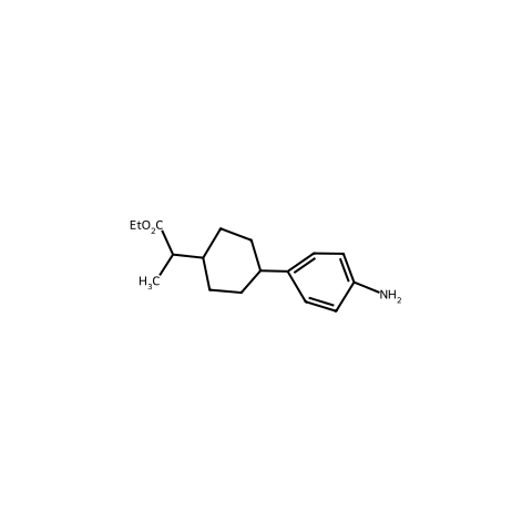 CCOC(=O)C(C)C1CCC(c2ccc(N)cc2)CC1